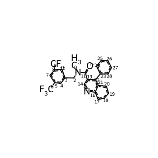 CN(Cc1cc(C(F)(F)F)cc(C(F)(F)F)c1)C(=O)c1cnc2ccccc2c1-c1ccccc1